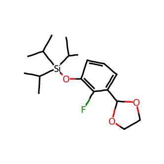 CC(C)[Si](Oc1cccc(C2OCCO2)c1F)(C(C)C)C(C)C